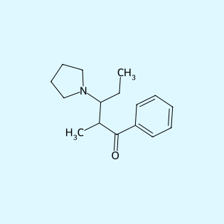 CCC(C(C)C(=O)c1ccccc1)N1CCCC1